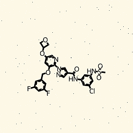 CS(=O)(=O)Nc1cc(Cl)cc(NC(=O)c2cnn(-c3ncc(OC4COC4)cc3OCc3cc(F)cc(F)c3)c2)c1